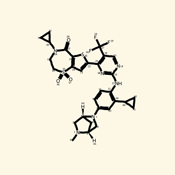 CN1C[C@H]2C[C@@H]1CN2c1ccc(Nc2ncc(C(F)(F)F)c(-c3cc4c(s3)C(=O)N(C3CC3)CCS4(=O)=O)n2)c(C2CC2)c1